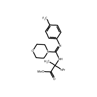 CCCC(C)(NC(=Nc1ccc(C(F)(F)F)cc1)N1CCOCC1)C(=O)OC